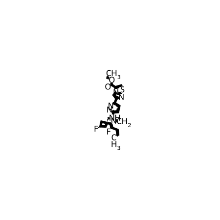 C=N/C(=C(F)\C=C/C)[C@]1(CNc2ccc(-c3cn4c(C(=O)OCC)csc4n3)nn2)C[C@@H](F)C1